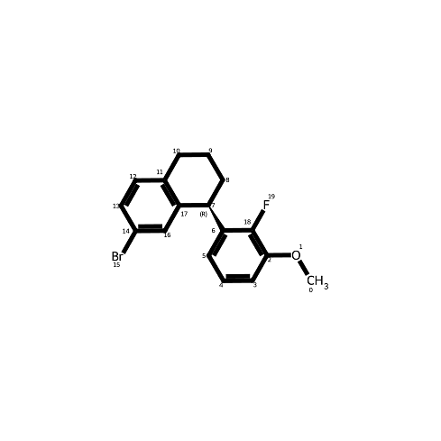 COc1cccc([C@@H]2CCCc3ccc(Br)cc32)c1F